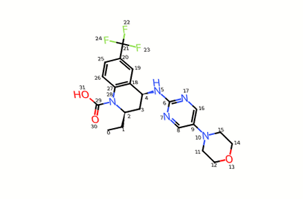 CC[C@@H]1C[C@H](Nc2ncc(N3CCOCC3)cn2)c2cc(C(F)(F)F)ccc2N1C(=O)O